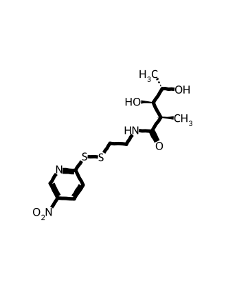 C[C@H](O)[C@H](O)[C@@H](C)C(=O)NCCSSc1ccc([N+](=O)[O-])cn1